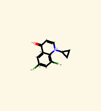 O=c1ccn(C2CC2)c2c(F)cc(F)cc12